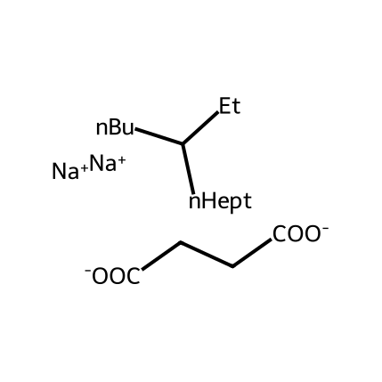 CCCCCCCC(CC)CCCC.O=C([O-])CCC(=O)[O-].[Na+].[Na+]